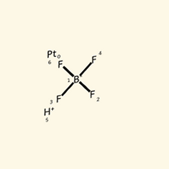 F[B-](F)(F)F.[H+].[Pt]